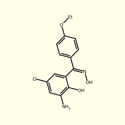 CCOc1ccc(C(=NO)c2cc(Cl)cc(N)c2O)cc1